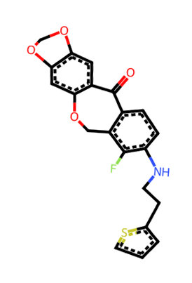 O=C1c2cc3c(cc2OCc2c1ccc(NCCc1cccs1)c2F)OCO3